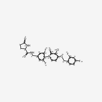 O=C1CCC(C(=O)NCc2cc(F)c(-n3ccc(OCc4ccc(F)cc4F)c(Cl)c3=O)c(F)c2)N1